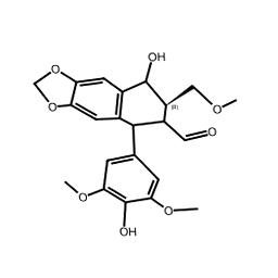 COC[C@@H]1C(O)c2cc3c(cc2C(c2cc(OC)c(O)c(OC)c2)C1C=O)OCO3